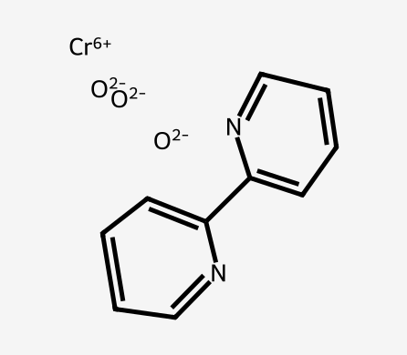 [Cr+6].[O-2].[O-2].[O-2].c1ccc(-c2ccccn2)nc1